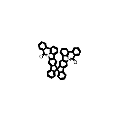 O=c1c2ccccc2c2cccc3c4cc5c(cc4n1c23)-c1ccccc1C51c2ccccc2-c2cc3c(cc21)c1cccc2c4ccccc4c(=O)n3c21